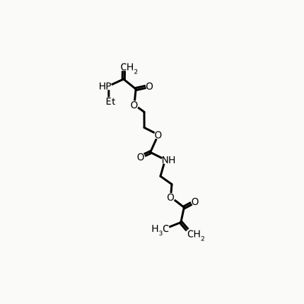 C=C(C)C(=O)OCCNC(=O)OCCOC(=O)C(=C)PCC